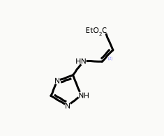 CCOC(=O)/C=C\Nc1ncn[nH]1